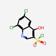 O=S(=O)(Cl)c1cnc2c(Cl)cc(Cl)cc2c1O